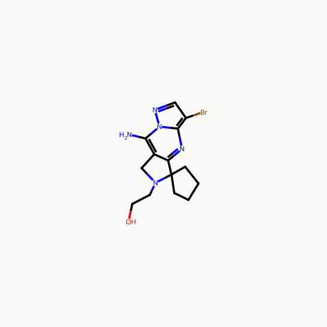 Nc1c2c(nc3c(Br)cnn13)C1(CCCC1)N(CCO)C2